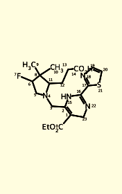 CCOC(=O)C1=C(CN2CC(F)C(C)(C)C2CCC(=O)O)NC(c2nccs2)=NC1